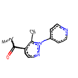 CNC(=O)c1cnn(-c2ccncc2)c1C#N